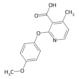 COc1ccc(Oc2nccc(C)c2C(=O)O)cc1